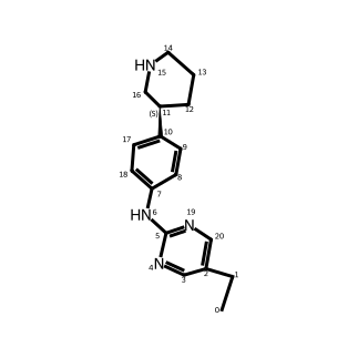 CCc1cnc(Nc2ccc([C@@H]3CCCNC3)cc2)nc1